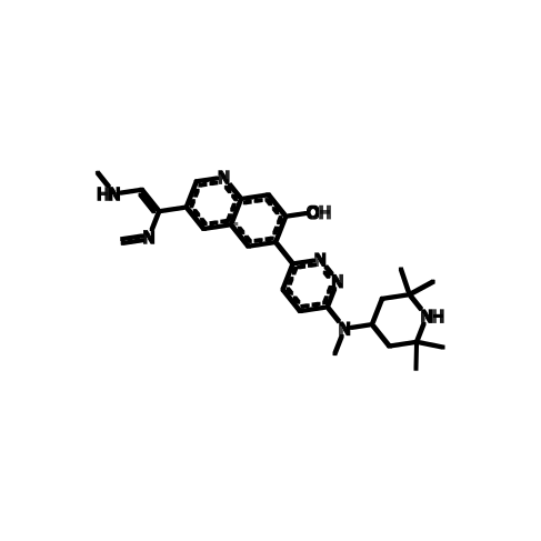 C=N/C(=C\NC)c1cnc2cc(O)c(-c3ccc(N(C)C4CC(C)(C)NC(C)(C)C4)nn3)cc2c1